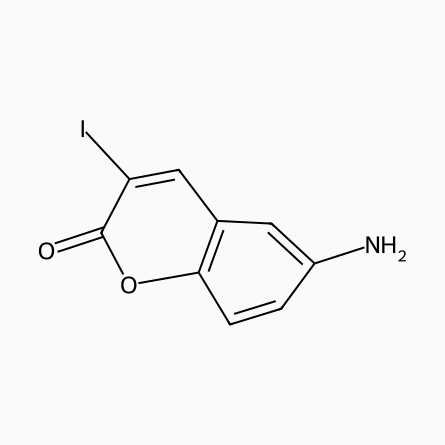 Nc1ccc2oc(=O)c(I)cc2c1